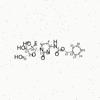 O=C(Nc1ccn([C@@H]2O[C@H](CO)[C@@H](O)[C@]2(O)F)c(=O)n1)OCc1ccccc1